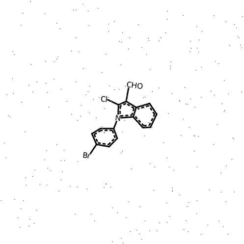 O=Cc1c(Cl)n(-c2ccc(Br)cc2)c2ccccc12